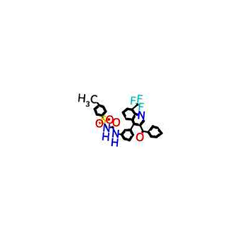 Cc1ccc(S(=O)(=O)NC(=O)Nc2cccc(-c3c(C(=O)c4ccccc4)cnc4c(C(F)(F)F)cccc34)c2)cc1